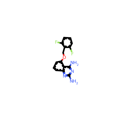 Nc1nc(N)c2c(OCc3c(F)cccc3F)cccc2n1